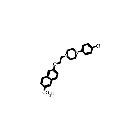 O=C(O)c1ccc2cc(OCCN3CCN(c4ccc(Cl)cc4)CC3)ccc2c1